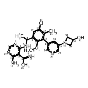 COc1c(C(C)Nc2ncnc(N)c2C(C)=N)cc(Cl)c(C)c1-c1cncc(N2CC(O)C2)c1